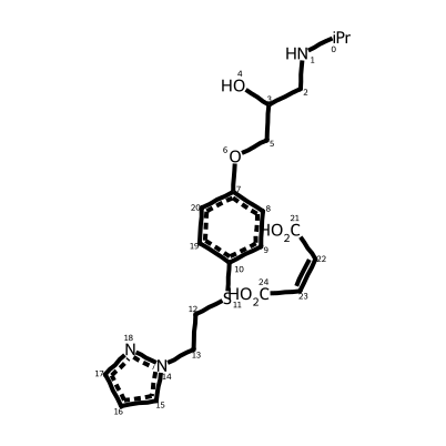 CC(C)NCC(O)COc1ccc(SCCn2cccn2)cc1.O=C(O)/C=C\C(=O)O